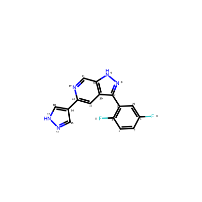 Fc1ccc(F)c(-c2n[nH]c3cnc(-c4cn[nH]c4)cc23)c1